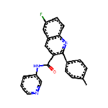 Cc1ccc(-c2nc3ccc(F)cc3cc2C(=O)Nc2cccnc2)cc1